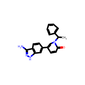 CC(c1ccccc1)n1cc(-c2ccc3c(N)n[nH]c3c2)ccc1=O